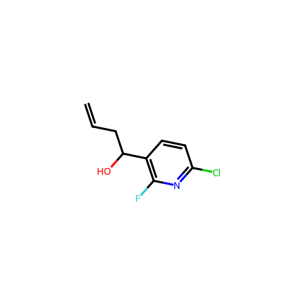 C=CCC(O)c1ccc(Cl)nc1F